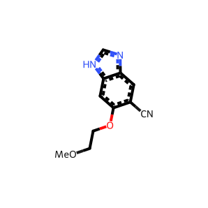 COCCOc1cc2[nH]cnc2cc1C#N